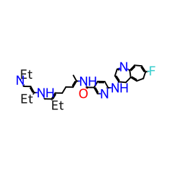 CC/N=C\C=C(/CC)NC/C(=C/CCC=C(C)NC(=O)c1ccc(NC2=CC=NC3=CC=C(F)CC=C3C2)nc1)CC